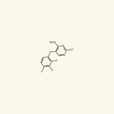 CNc1nc(Cl)ncc1Oc1[c]cc(F)c(F)c1F